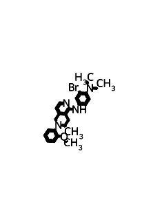 CCN(CC)c1ccc(Nc2nccc3c2CC(C)N(c2ccccc2OC)C3)cc1Br